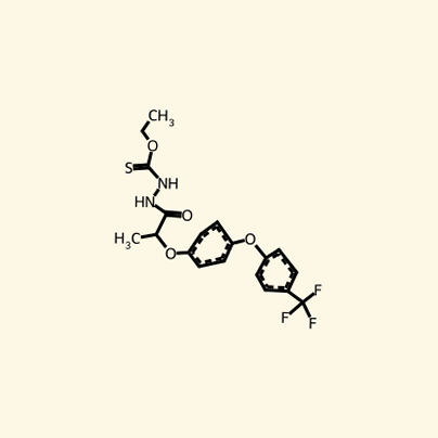 CCOC(=S)NNC(=O)C(C)Oc1ccc(Oc2ccc(C(F)(F)F)cc2)cc1